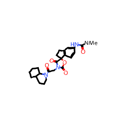 CNC(=O)Nc1ccc2c(c1)CCC21OC(=O)N(CC(=O)N2CCCC3CCCCC32)C1=O